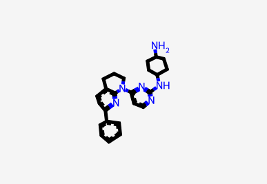 NC1CCC(Nc2nccc(N3CCCc4ccc(-c5ccccc5)nc43)n2)CC1